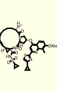 COc1ccc2c(O[C@@H]3C[C@H]4C(=O)N[C@]5(C(=O)NS(=O)(=O)C6CC6)C[C@H]5C=CCCCCC[C@H](N)C(=O)N4C3)cc(-c3nc(C4CC4)cs3)nc2c1C